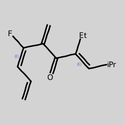 C=C/C=C(/F)C(=C)C(=O)/C(=C/C(C)C)CC